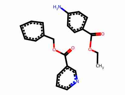 CCOC(=O)c1ccc(N)cc1.O=C(OCc1ccccc1)c1cccnc1